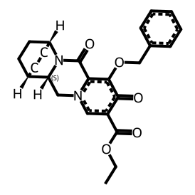 CCOC(=O)c1cn2c(c(OCc3ccccc3)c1=O)C(=O)N1[C@H]3CC[C@H](CC3)[C@H]1C2